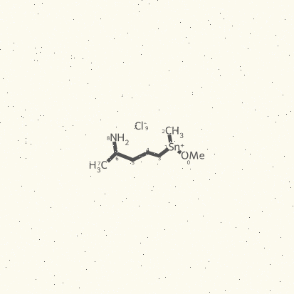 C[O][Sn+]([CH3])[CH2]CCC(C)N.[Cl-]